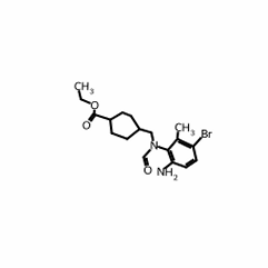 CCOC(=O)C1CCC(CN(C=O)c2c(N)ccc(Br)c2C)CC1